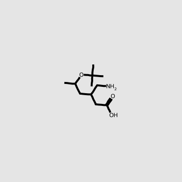 CC(CC(CN)CC(=O)O)OC(C)(C)C